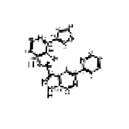 c1ccc(-c2cc3c(-c4nc5c(-c6ccsc6)nccc5[nH]4)n[nH]c3cn2)nc1